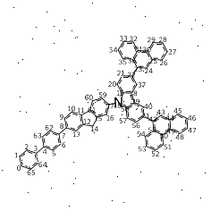 c1ccc(-c2ccc(-c3ccc4c(c3)Cc3cc(-n5c6ccc(-c7cc8ccccc8c8ccccc78)cc6c6cc(-c7cc8ccccc8c8ccccc78)ccc65)ccc3-4)cc2)cc1